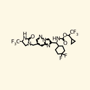 O=C(N[C@H](c1cn2ncc(CN3C[C@@H](C(F)(F)F)NC3=O)cc2n1)C1CCC(F)(F)CC1)OC(C1CC1)C(F)(F)F